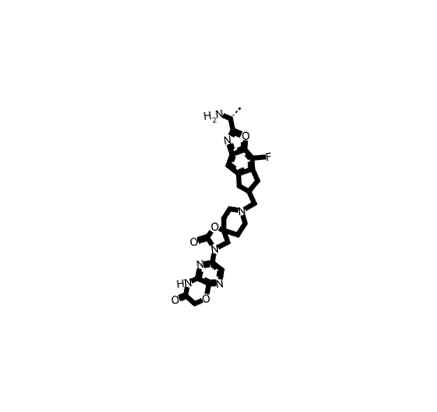 C[C@@H](N)c1nc2cc3c(c(F)c2o1)CC(CN1CCC2(CC1)CN(c1cnc4c(n1)NC(=O)CO4)C(=O)O2)C3